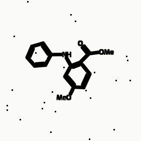 COC(=O)c1ccc(OC)cc1Nc1ccccc1